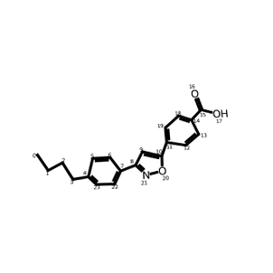 CCCCc1ccc(-c2cc(-c3ccc(C(=O)O)cc3)on2)cc1